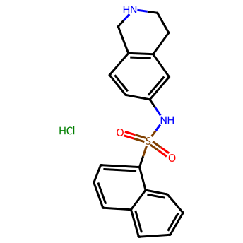 Cl.O=S(=O)(Nc1ccc2c(c1)CCNC2)c1cccc2ccccc12